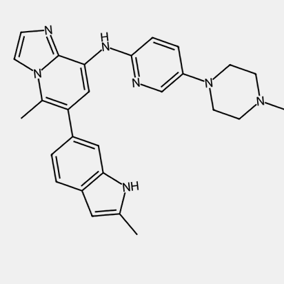 CCN1CCN(c2ccc(Nc3cc(-c4ccc5cc(C)[nH]c5c4)c(C)n4ccnc34)nc2)CC1